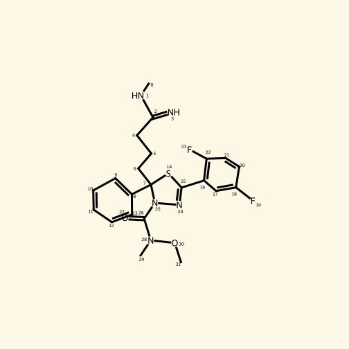 CNC(=N)CCCC1(c2ccccc2)SC(c2cc(F)ccc2F)=NN1C(=O)N(C)OC